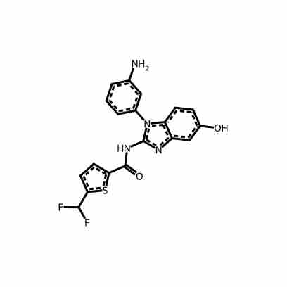 Nc1cccc(-n2c(NC(=O)c3ccc(C(F)F)s3)nc3cc(O)ccc32)c1